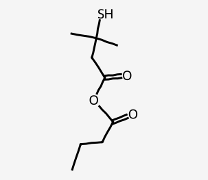 CCCC(=O)OC(=O)CC(C)(C)S